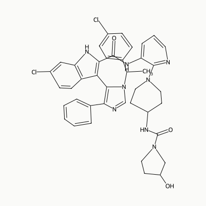 CC(c1ccc(Cl)cc1)n1cnc(-c2ccccc2)c1-c1c(C(=O)Nc2cccnc2N2CCC(NC(=O)N3CCC(O)C3)CC2)[nH]c2cc(Cl)ccc12